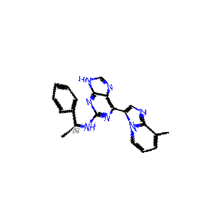 Cc1cccn2c(-c3nc(N[C@@H](C)c4ccccc4)nc4[nH]cnc34)cnc12